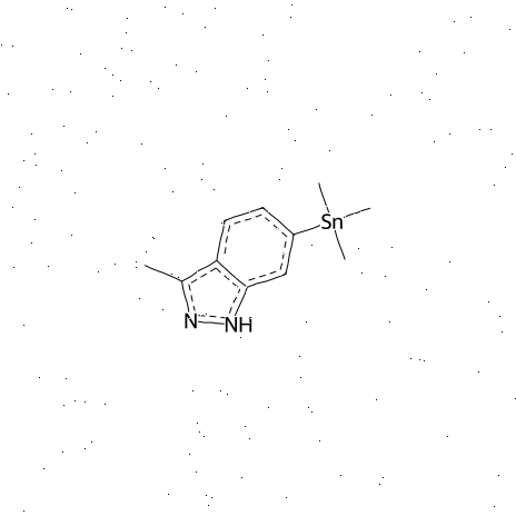 Cc1n[nH]c2c[c]([Sn]([CH3])([CH3])[CH3])ccc12